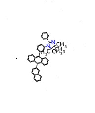 CC1(C)N=C(c2ccccc2)N(c2cccc(-c3c4ccccc4c(-c4ccc5ccccc5c4)c4ccccc34)c2)C1(C)C